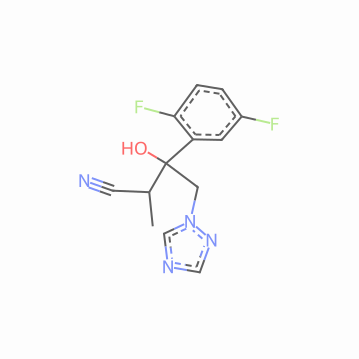 CC(C#N)C(O)(Cn1cncn1)c1cc(F)ccc1F